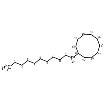 CCCCCCCCCC[P]C1CCCCCCCCC1